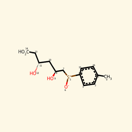 Cc1ccc([S+]([O-])C[C@@H](O)C[C@H](O)CC(=O)O)cc1